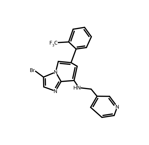 FC(F)(F)c1ccccc1-c1cc(NCc2cccnc2)c2ncc(Br)n2c1